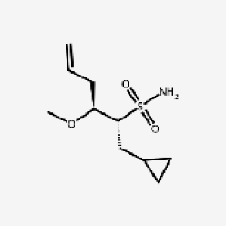 C=CC[C@H](OC)[C@@H](CC1CC1)S(N)(=O)=O